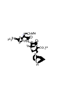 CO/N=C(\C(=O)N[C@@H]1C(=O)N2C(C(=O)O)=C(CN3C=CN4NC=CC=C34)CS[C@H]12)c1nsc(N)n1